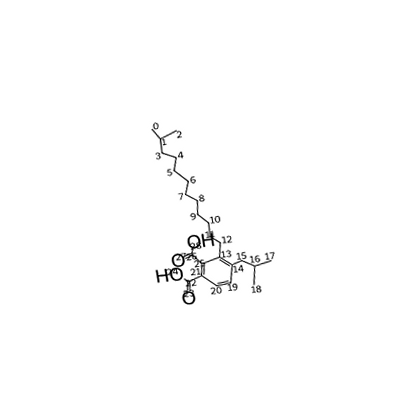 CC(C)CCCCCCCCCCc1c(CC(C)C)ccc(C(=O)O)c1C(=O)O